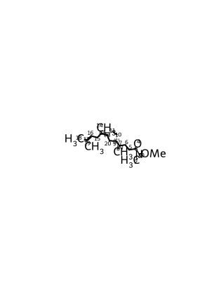 CON(C)C(=O)CC[C@@H](C)[C@H]1CC[C@@H]([C@@H](C)CC=C(C)C)C1